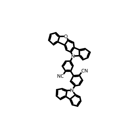 N#Cc1ccc(-n2c3ccccc3c3ccccc32)cc1-c1cc(-n2c3ccccc3c3cc4oc5ccccc5c4cc32)ccc1C#N